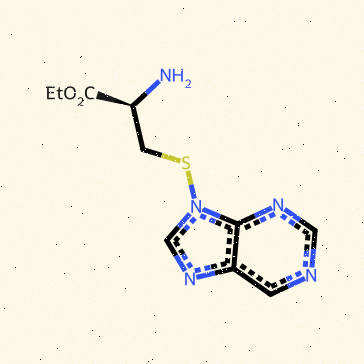 CCOC(=O)[C@@H](N)CSn1cnc2cncnc21